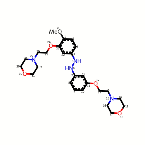 COc1ccc(NNc2cccc(OCCN3CCOCC3)c2)cc1OCCN1CCOCC1